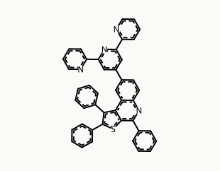 c1ccc(-c2sc3c(-c4ccccc4)nc4ccc(-c5cc(-c6ccccn6)nc(-c6ccccn6)c5)cc4c3c2-c2ccccc2)cc1